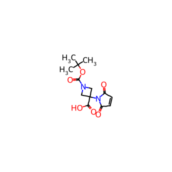 CC(C)(C)OC(=O)N1CC(C(=O)O)(N2C(=O)C=CC2=O)C1